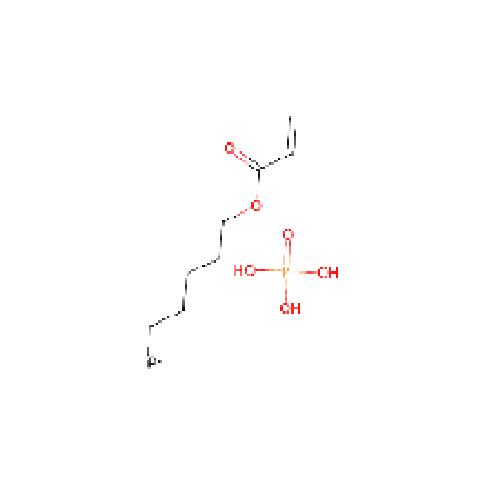 C=CC(=O)OCCCCCC(C)C.O=P(O)(O)O